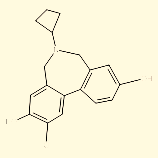 Oc1ccc2c(c1)CN(C1CCC1)Cc1cc(O)c(Cl)cc1-2